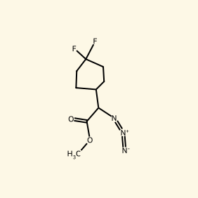 COC(=O)C(N=[N+]=[N-])C1CCC(F)(F)CC1